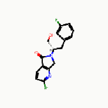 O=C1c2ccc(Br)nc2CN1[C@H](CO)Cc1cccc(F)c1